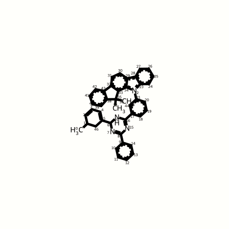 CC1C=CC=C(C2N=C(c3ccccc3)N=C(c3cccc(-n4c5ccccc5c5ccc6c(c54)C(C)(C)c4ccccc4-6)c3)N2)C1